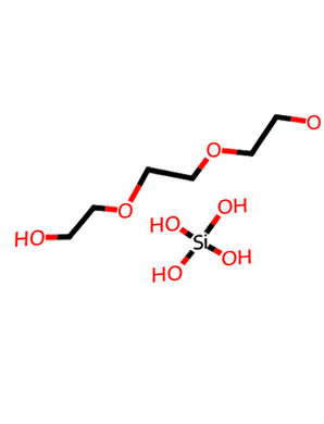 OCCOCCOCCO.O[Si](O)(O)O